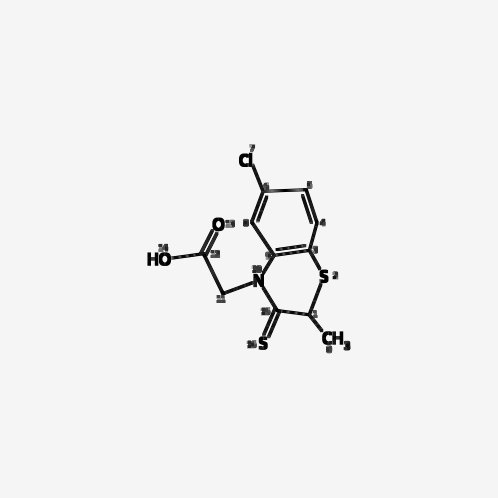 CC1Sc2ccc(Cl)cc2N(CC(=O)O)C1=S